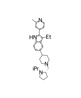 CCc1c(-c2ccnc(C)c2)[nH]c2ccc(C3CCN(C[C@@H]4CCCN4C(C)C)CC3)cc12